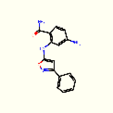 NC(=O)c1ccc(N)cc1Nc1cc(-c2ccccc2)no1